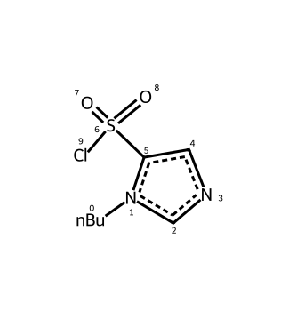 CCCCn1cncc1S(=O)(=O)Cl